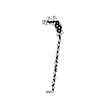 COCCOCCOCCOCCOCCOCCOCCOCCOCCOCCOCCOCCC(=O)O[C@H]1CC[C@@]2(C)C(=CC[C@H]3[C@@H]4CC[C@H](C(C)CCCC(C)(C)O)[C@@]4(C)CC[C@@H]32)C1